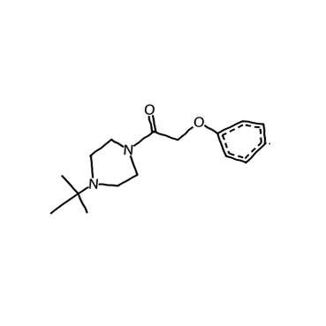 CC(C)(C)N1CCN(C(=O)COc2cc[c]cc2)CC1